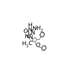 C=C1C(COCc2ccccc2)C(Cc2ccccc2)CC1n1cnc2c(=O)[nH]c(N)nc21